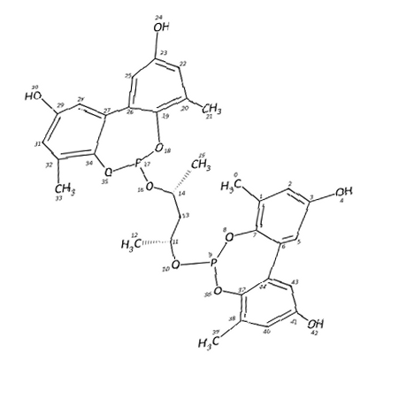 Cc1cc(O)cc2c1op(O[C@H](C)C[C@@H](C)Op1oc3c(C)cc(O)cc3c3cc(O)cc(C)c3o1)oc1c(C)cc(O)cc12